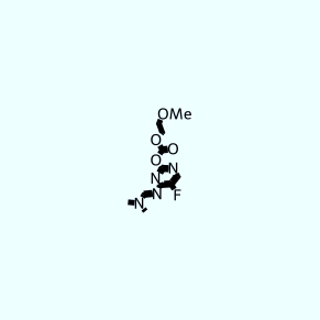 COCCOC(=O)Oc1ncc(F)c(/N=C/N(C)C)n1